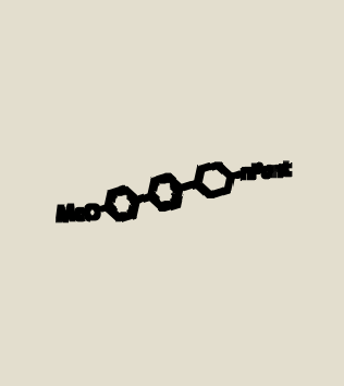 CCCCCC1CCC(c2ccc(-c3ccc(OC)cc3)cc2)CC1